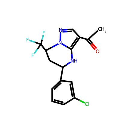 CC(=O)c1cnn2c1NC(c1cccc(Cl)c1)CC2C(F)(F)F